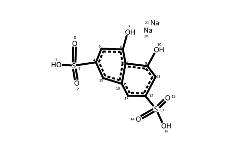 O=S(=O)(O)c1cc(O)c2c(O)cc(S(=O)(=O)O)cc2c1.[Na].[Na]